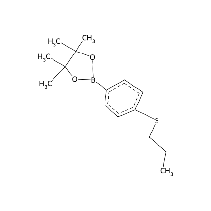 CCCSc1ccc(B2OC(C)(C)C(C)(C)O2)cc1